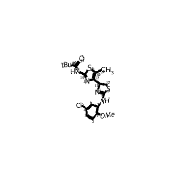 COc1ccc(Cl)cc1NC1=NC(c2nc(NC(=O)C(C)(C)C)sc2C)CS1